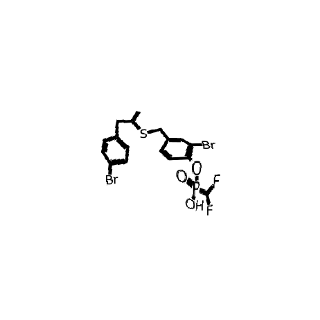 CC(Cc1ccc(Br)cc1)SCc1ccc(OP(=O)(O)C(F)F)c(Br)c1